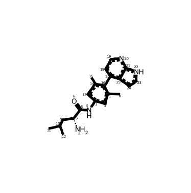 Cc1cc(NC(=O)[C@H](N)CC(C)C)cc(C)c1-c1ccnc2[nH]ccc12